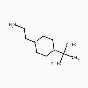 CCCCCCC(C)(CCCCCC)N1CCN(CCN)CC1